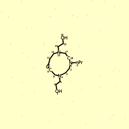 CCCN1CCN(CCO)CCOCCN(CCO)CC1